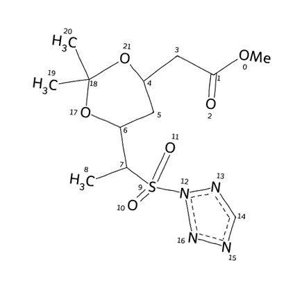 COC(=O)CC1CC(C(C)S(=O)(=O)n2ncnn2)OC(C)(C)O1